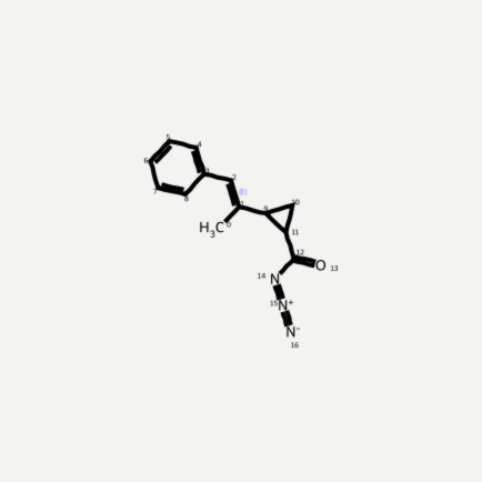 C/C(=C\c1ccccc1)C1CC1C(=O)N=[N+]=[N-]